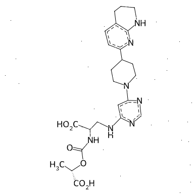 C[C@H](OC(=O)NC(CNc1cc(N2CCC(c3ccc4c(n3)NCCC4)CC2)ncn1)C(=O)O)C(=O)O